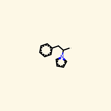 [CH2]C(Cc1ccccc1)n1cccc1